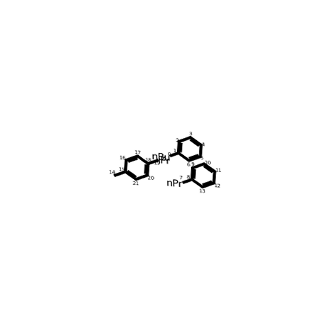 CCCCc1ccccc1.CCCc1ccccc1.Cc1ccc(C(C)C)cc1